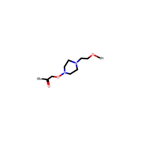 CC(C)OCCN1CCN(OCC(=O)C(C)(C)C)CC1